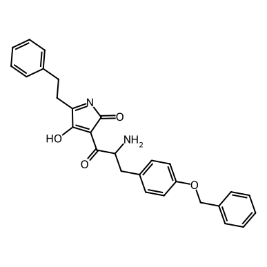 NC(Cc1ccc(OCc2ccccc2)cc1)C(=O)C1=C(O)C(CCc2ccccc2)=NC1=O